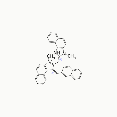 CN1/C(=C/C2=[N+](C)c3ccc4ccccc4c3/C2=C/c2ccc3ccccc3c2)Nc2c1ccc1ccccc21